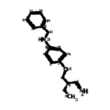 CC[C@H](C=N)COc1ccc(NCc2ccccc2)cc1